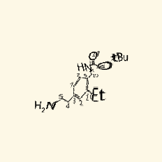 CCc1cc(CCN)ccc1CNC(=O)OC(C)(C)C